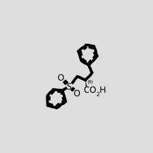 O=C(O)[C@@H](Cc1ccccc1)CS(=O)(=O)c1ccccc1